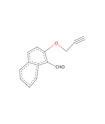 C#CCOc1ccc2ccccc2c1C=O